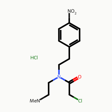 CNCCN(CCc1ccc([N+](=O)[O-])cc1)C(=O)CCl.Cl